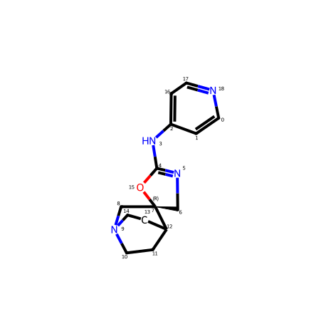 c1cc(NC2=NC[C@@]3(CN4CCC3CC4)O2)ccn1